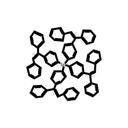 C(=C(\c1ccccc1)c1cc[c]([Sn]([c]2ccc(/C(=C\c3ccccc3)c3ccccc3)cc2)([c]2ccc(/C(=C\c3ccccc3)c3ccccc3)cc2)[c]2ccc(/C(=C\c3ccccc3)c3ccccc3)cc2)cc1)/c1ccccc1